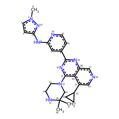 Cn1ccc(Nc2cc(-c3nc(N4CCNC(C)(C)C4)c4c(C5CC5)cncc4n3)ccn2)n1